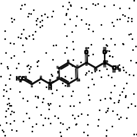 C=CCNc1ccc(C(=O)C[S+](C)[O-])cc1